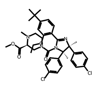 CCOc1cc(C(C)(C)C)ccc1C1=N[C@@](C)(c2ccc(Cl)cc2)[C@@](C)(c2ccc(Cl)cc2)N1C(=O)N1CCN(C)[C@H](C(=O)OC)C1